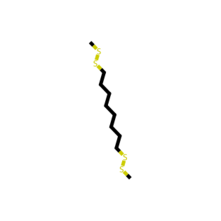 CSSCCCCCCCCSSC